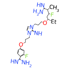 CCC(CC(F)C(C)C(=N)N)OCCCn1ccn(CCCOc2ccc(C(=N)N)c(F)c2)c1=N